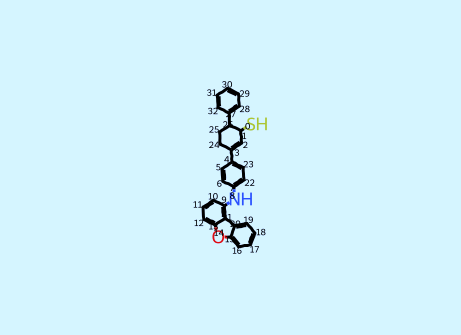 SC1C=C(c2ccc(Nc3cccc4oc5ccccc5c34)cc2)CCC1c1ccccc1